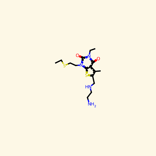 CCSCCn1c(=O)n(CC)c(=O)c2c(C)c(CNCCN)sc21